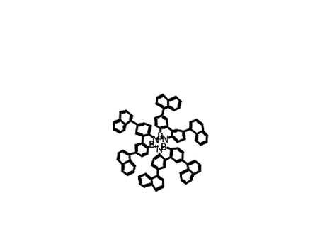 c1ccc2c(-c3ccc4c(c3)-c3cc(-c5cccc6ccccc56)ccc3N3B4N4B(c5ccc(-c6cccc7ccccc67)cc5-c5cc(-c6cccc7ccccc67)ccc54)N4B3c3ccc(-c5cccc6ccccc56)cc3-c3cc(-c5cccc6ccccc56)ccc34)cccc2c1